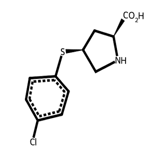 O=C(O)[C@@H]1C[C@H](Sc2ccc(Cl)cc2)CN1